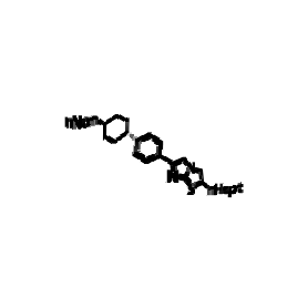 CCCCCCCCC[C@H]1CC[C@H](c2ccc(-c3cn4cc(CCCCCCC)sc4n3)cc2)CC1